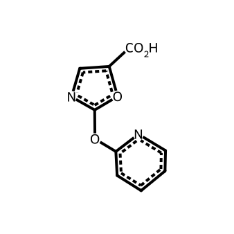 O=C(O)c1cnc(Oc2ccccn2)o1